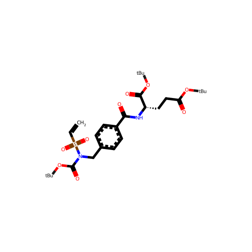 C=CS(=O)(=O)N(Cc1ccc(C(=O)N[C@@H](CCC(=O)OC(C)(C)C)C(=O)OC(C)(C)C)cc1)C(=O)OC(C)(C)C